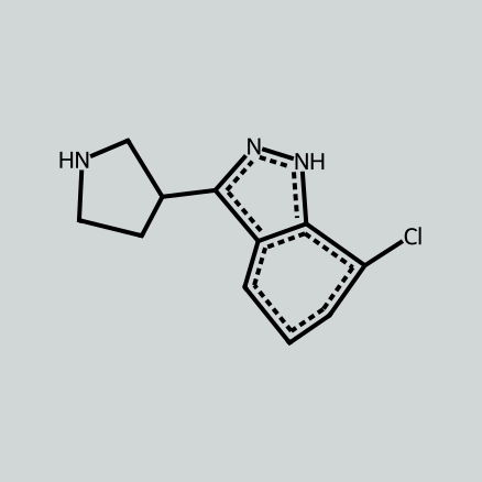 Clc1cccc2c(C3CCNC3)n[nH]c12